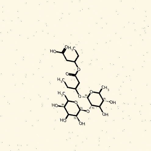 CCC(CC(=O)O)OC(=O)CC(CC)O[C@@H]1OC(C)[C@H](O)C(O)[C@@H]1O[C@@H]1OC(C)[C@H](O)C(O)[C@@H]1O